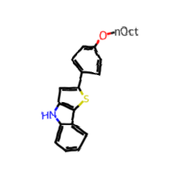 CCCCCCCCOc1ccc(-c2cc3[nH]c4ccccc4c3s2)cc1